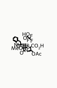 COC1(NC(=O)Cc2ccccc2N)C(=O)N2C=C(COC(C)=O)C(C(=O)O)S[C@@H]21.O=C(O)C(F)(F)F